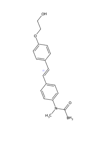 BC(=O)N(C)c1ccc(/C=C/c2ccc(OCCO)cc2)cc1